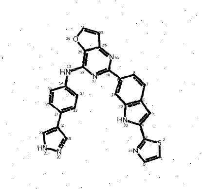 c1csc(-c2cc3ccc(-c4nc(Nc5ccc(-c6cn[nH]c6)cc5)c5occc5n4)cc3[nH]2)n1